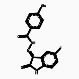 CC(C)(C)c1ccc(C(=O)N/N=C2/C(=O)Nc3ccc(I)cc32)cc1